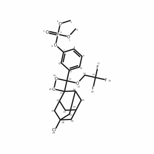 COP(=O)(OC)Oc1cccc(C2(OCC(F)(F)F)OOC23C2CC4CC3CC(Cl)(C4)C2)c1